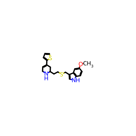 COc1ccc2[nH]cc(CSCCC3CC(c4cccs4)=CCN3)c2c1